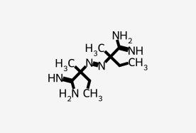 CCC(C)(N=NC(C)(CC)C(=N)N)C(=N)N